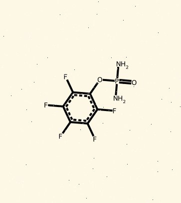 NP(N)(=O)Oc1c(F)c(F)c(F)c(F)c1F